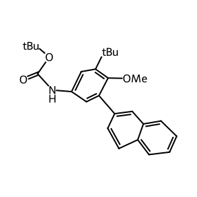 COc1c(-c2ccc3ccccc3c2)cc(NC(=O)OC(C)(C)C)cc1C(C)(C)C